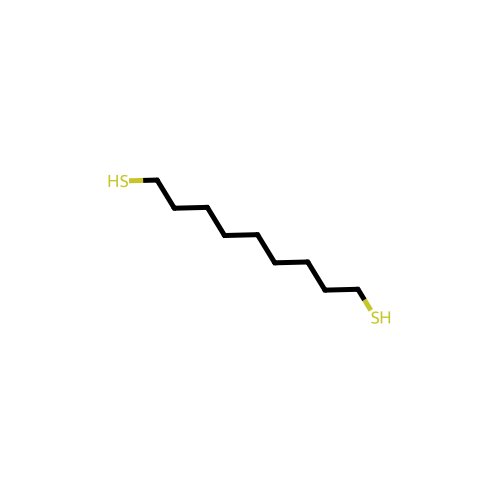 SCCCCCCCCCS